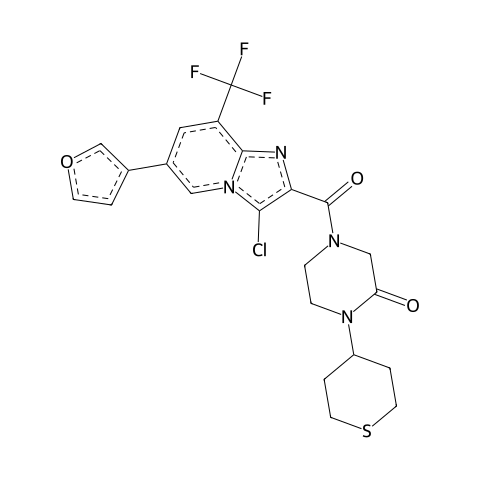 O=C(c1nc2c(C(F)(F)F)cc(-c3ccoc3)cn2c1Cl)N1CCN(C2CCSCC2)C(=O)C1